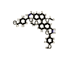 CCOc1ccc2cc(/C=C\C(=O)c3ccc(C=O)cc3)ccc2c1-c1c(OCC)ccc2cc(/C=C\C(=O)c3ccc(OC)cc3)ccc12